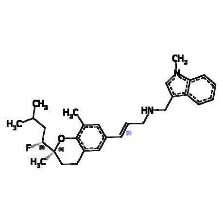 Cc1cc(/C=C/CNCc2cn(C)c3ccccc23)cc2c1O[C@](C)([C@H](F)CC(C)C)CC2